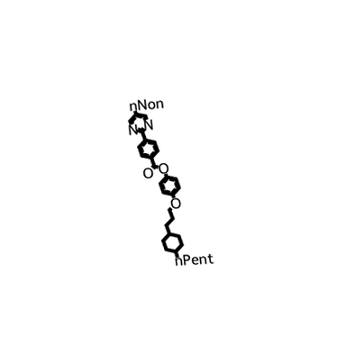 CCCCCCCCCc1cnc(-c2ccc(C(=O)Oc3ccc(OCCCC4CCC(CCCCC)CC4)cc3)cc2)nc1